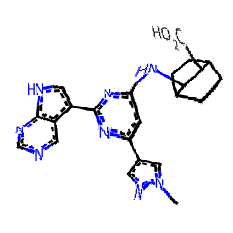 Cn1cc(-c2cc(NC3C4CCC(CC4)C3C(=O)O)nc(-c3c[nH]c4ncncc34)n2)cn1